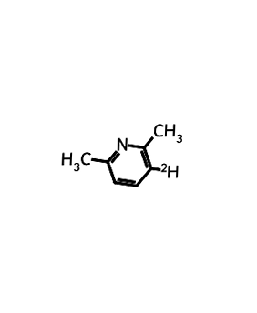 [2H]c1ccc(C)nc1C